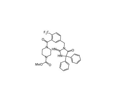 COC(=O)N1CCN(C(=O)c2cc(CN3C(=N)NC(c4ccccc4)(c4ccccc4)C3=O)ccc2C(F)(F)F)CC1